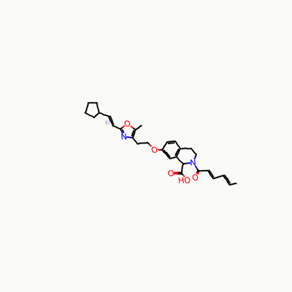 CC=CC=CC(=O)N1CCc2ccc(OCCc3nc(/C=C/C4CCCC4)oc3C)cc2C1C(=O)O